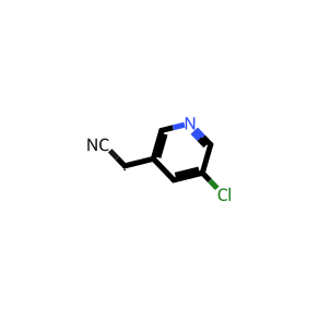 N#C[CH]c1cncc(Cl)c1